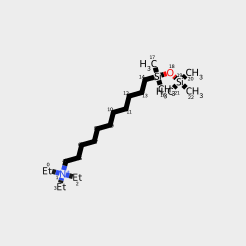 CC[N+](CC)(CC)CCCCCCCCCCC[Si](C)(C)O[Si](C)(C)C